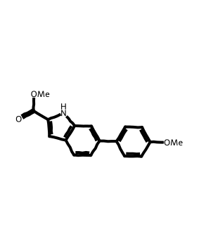 COC(=O)c1cc2ccc(-c3ccc(OC)cc3)cc2[nH]1